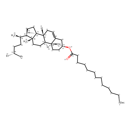 CCCCCCCCCCCCCCCCCCCCCC(=O)O[C@H]1CC[C@@]2(C)C(=CC[C@H]3[C@@H]4CC[C@H]([C@H](C)CC[C@@H](CC)C(C)C)[C@@]4(C)CC[C@@H]32)C1